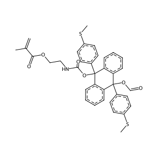 C=C(C)C(=O)OCCNC(=O)OC1(c2ccc(SC)cc2)c2ccccc2C(OC=O)(c2ccc(SC)cc2)c2ccccc21